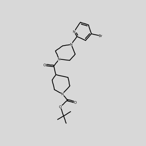 CC(C)(C)OC(=O)N1CCC(C(=O)N2CCN(c3cc(Br)ccn3)CC2)CC1